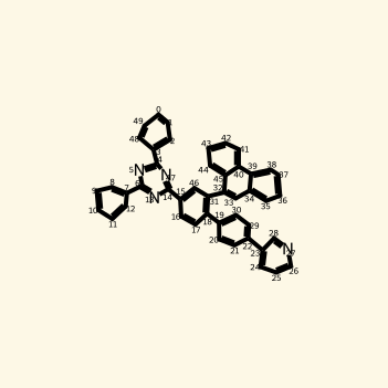 c1ccc(-c2nc(-c3ccccc3)nc(-c3ccc(-c4ccc(-c5cccnc5)cc4)c(-c4cc5ccccc5c5ccccc45)c3)n2)cc1